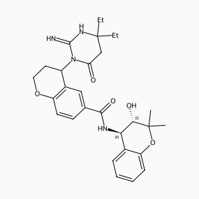 CCC1(CC)CC(=O)N(C2CCOc3ccc(C(=O)N[C@@H]4c5ccccc5OC(C)(C)[C@H]4O)cc32)C(=N)N1